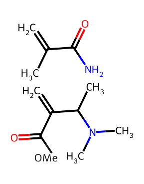 C=C(C(=O)OC)C(C)N(C)C.C=C(C)C(N)=O